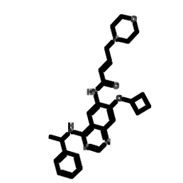 CC(Nc1ncnc2cc(OC3CCC3)c(NC(=O)C=CCN3CCOCC3)cc12)c1ccccc1